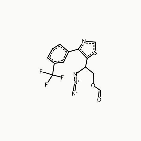 [N-]=[N+]=NC(COC=O)c1scnc1-c1cccc(C(F)(F)F)c1